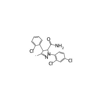 [CH2]C1=NN(c2ccc(Cl)cc2Cl)C(C(N)=O)C1c1ccccc1Cl